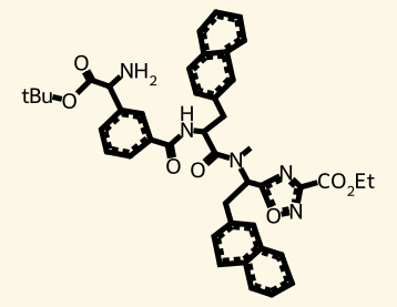 CCOC(=O)c1noc(C(Cc2ccc3ccccc3c2)N(C)C(=O)C(Cc2ccc3ccccc3c2)NC(=O)c2cccc(C(N)C(=O)OC(C)(C)C)c2)n1